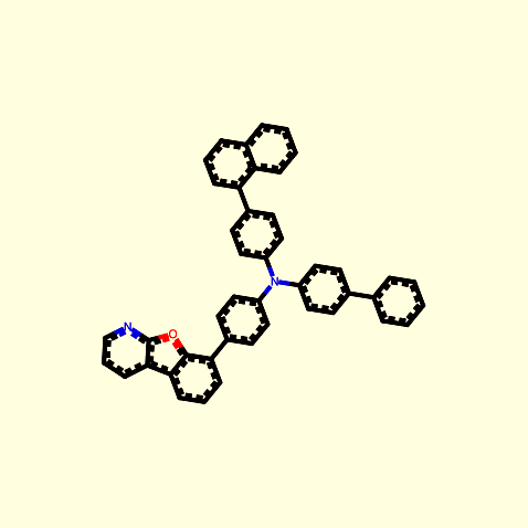 c1ccc(-c2ccc(N(c3ccc(-c4cccc5ccccc45)cc3)c3ccc(-c4cccc5c4oc4ncccc45)cc3)cc2)cc1